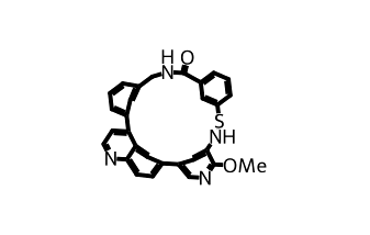 COc1ncc2cc1NSc1cccc(c1)C(=O)NCc1cccc(c1)-c1ccnc3ccc-2cc13